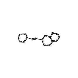 C(#Cc1ccc2ccc[c]c2c1)c1ccccc1